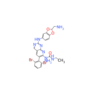 CCNC(=O)N(N)c1nc2nc(Nc3ccc4c(c3)OC(CN)O4)ncc2cc1-c1c(Br)cccc1Br